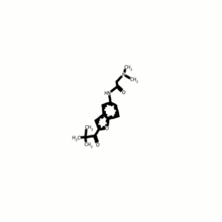 CN(C)CC(=O)Nc1ccc2oc(C(=O)C(C)(C)C)cc2c1